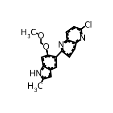 COCOc1cc2[nH]c(C)cc2cc1-c1ccc2nc(Cl)ccc2n1